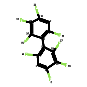 Fc1cc(F)c(-c2c(F)cc(F)c(F)c2F)c(F)c1F